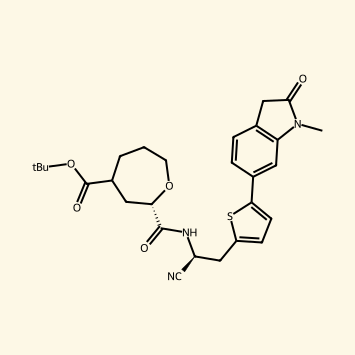 CN1C(=O)Cc2ccc(-c3ccc(C[C@@H](C#N)NC(=O)[C@@H]4CC(C(=O)OC(C)(C)C)CCCO4)s3)cc21